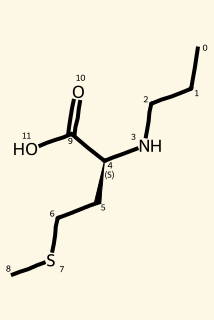 CCCN[C@@H](CCSC)C(=O)O